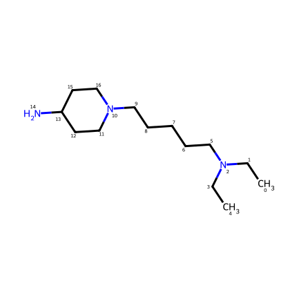 CCN(CC)CCCCCN1CCC(N)CC1